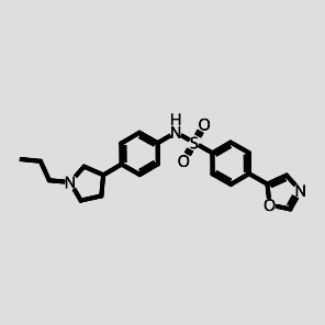 CCCN1CCC(c2ccc(NS(=O)(=O)c3ccc(-c4cnco4)cc3)cc2)C1